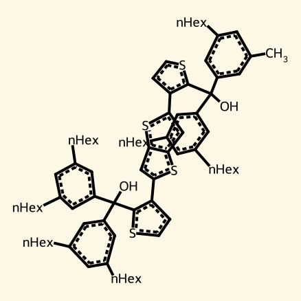 CCCCCCc1cc(C)cc(C(O)(c2cc(CCCCCC)cc(CCCCCC)c2)c2sccc2-c2cc3sc(-c4ccsc4C(O)(c4cc(CCCCCC)cc(CCCCCC)c4)c4cc(CCCCCC)cc(CCCCCC)c4)cc3s2)c1